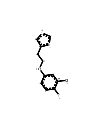 Clc1ccc(OCCc2cs[c]n2)cc1Cl